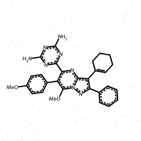 COc1ccc(-c2c(-c3nc(N)nc(N)n3)nc3c(C4=CCCCC4)c(-c4ccccc4)nn3c2OC)cc1